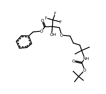 CC(C)(CCCOCC(O)(C(=O)OCc1ccccc1)C(F)(F)F)NC(=O)OC(C)(C)C